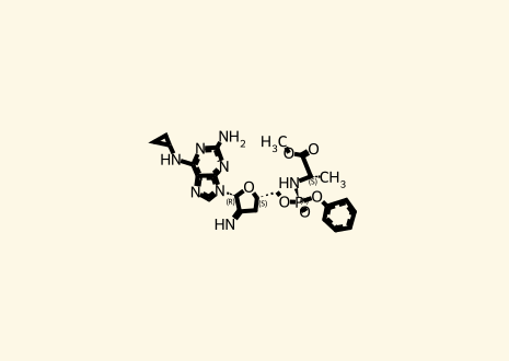 COC(=O)[C@H](C)N[P@@](=O)(OC[C@@H]1CC(=N)[C@H](n2cnc3c(NC4CC4)nc(N)nc32)O1)Oc1ccccc1